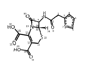 O=C(Cc1cccs1)NC1C(=O)N2C(C(=O)O)=C(C(=O)O)CS[C@@H]12